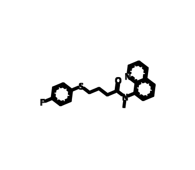 CN(C(=O)CCCSc1ccc(F)cc1)c1cccc2cccnc12